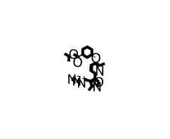 Cc1nc(-c2onc(C)c2CN=[N+]=[N-])ccc1O[C@H]1CCC[C@H](C(=O)OC(C)C)C1